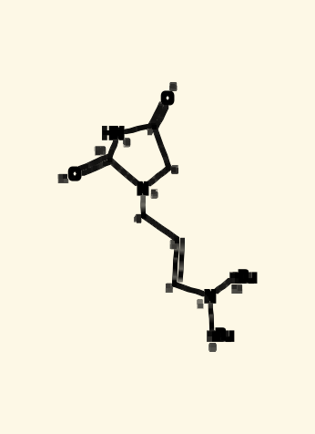 CCCCN(C=CCN1CC(=O)NC1=O)CCCC